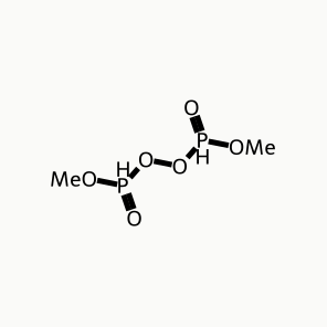 CO[PH](=O)OO[PH](=O)OC